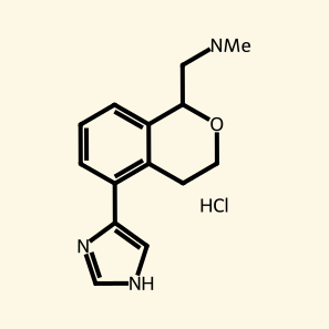 CNCC1OCCc2c(-c3c[nH]cn3)cccc21.Cl